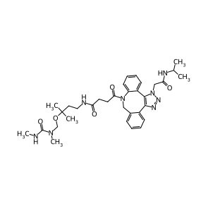 CNC(=O)N(C)COC(C)(C)CCNC(=O)CCC(=O)N1Cc2ccccc2-c2nnn(CC(=O)NC(C)C)c2-c2ccccc21